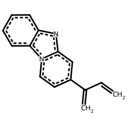 C=CC(=C)c1ccn2c(c1)nc1ccccc12